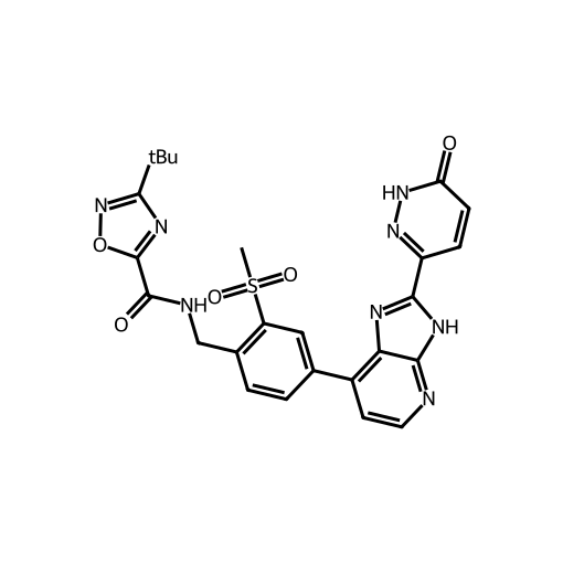 CC(C)(C)c1noc(C(=O)NCc2ccc(-c3ccnc4[nH]c(-c5ccc(=O)[nH]n5)nc34)cc2S(C)(=O)=O)n1